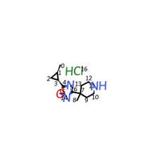 C[C@@H]1C[C@@H]1c1nc(C2(C)CCNCC2)no1.Cl